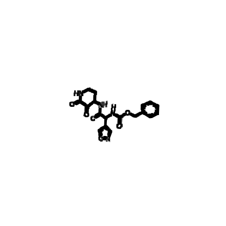 O=C(NC(C(=O)NC1CCNC(=O)C1=O)c1cnoc1)OCc1ccccc1